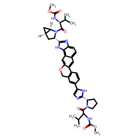 COC(=O)NC(C(=O)N1CCC[C@H]1c1ncc(-c2ccc3c(c2)COc2cc4c(ccc5nc([C@@H]6C[C@H]7C[C@H]7N6C(=O)[C@@H](NC(=O)OC)C(C)C)[nH]c54)cc2-3)[nH]1)C(C)C